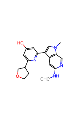 Cn1cc(-c2cc(O)cc(C3CCOC3)n2)c2cc(NC=O)ncc21